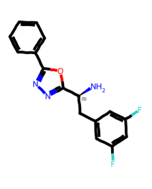 N[C@@H](Cc1cc(F)cc(F)c1)c1nnc(-c2ccccc2)o1